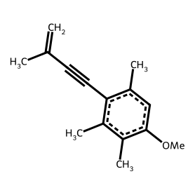 C=C(C)C#Cc1c(C)cc(OC)c(C)c1C